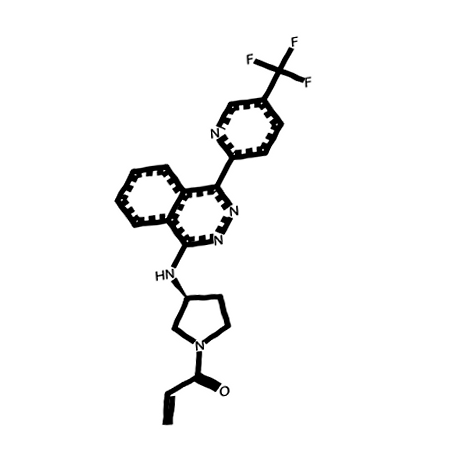 C=CC(=O)N1CC[C@H](Nc2nnc(-c3ccc(C(F)(F)F)cn3)c3ccccc23)C1